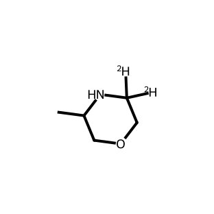 [2H]C1([2H])COCC(C)N1